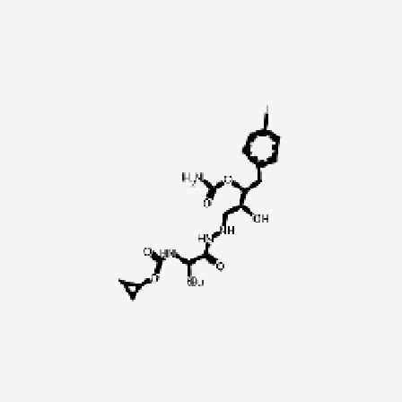 CC(C)(C)C(NC(=O)OC1CC1)C(=O)NNCC(O)C(Cc1ccc(I)cc1)OC(N)=O